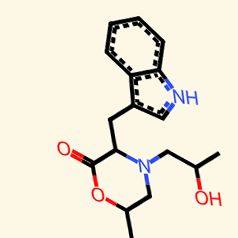 CC(O)CN1CC(C)OC(=O)C1Cc1c[nH]c2ccccc12